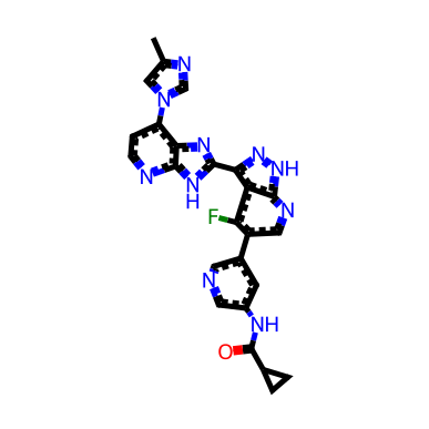 Cc1cn(-c2ccnc3[nH]c(-c4n[nH]c5ncc(-c6cncc(NC(=O)C7CC7)c6)c(F)c45)nc23)cn1